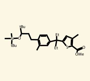 CCC(CC)(c1ccc(CCC(O[Si](C)(C)C(C)(C)C)C(C)(C)C)c(C)c1)c1cc(C)c(C(=O)OC)s1